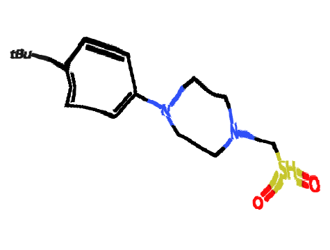 CC(C)(C)c1ccc(N2CCN(C[SH](=O)=O)CC2)cc1